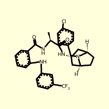 C[C@H](NC(=O)c1ccccc1Nc1cccc(C(F)(F)F)c1)C(=O)N[C@@H]1C[C@H]2CC[C@@H](C1)N2Cc1ccc(Cl)cc1